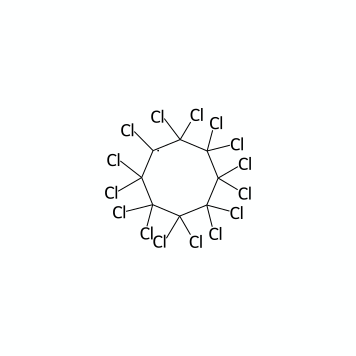 Cl[C]1C(Cl)(Cl)C(Cl)(Cl)C(Cl)(Cl)C(Cl)(Cl)C(Cl)(Cl)C(Cl)(Cl)C1(Cl)Cl